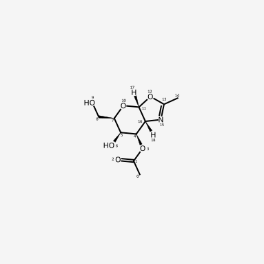 CC(=O)O[C@H]1[C@@H](O)[C@@H](CO)O[C@@H]2OC(C)=N[C@@H]21